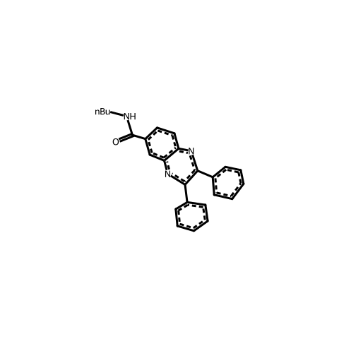 CCCCNC(=O)c1ccc2nc(-c3ccccc3)c(-c3ccccc3)nc2c1